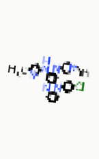 Cc1ccc(Nc2cc3nc4ccccc4n(-c4ccc(Cl)cc4)c-3c/c2=N\C2CCN(CC(C)C)CC2)cn1